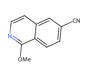 COc1nccc2cc(C#N)ccc12